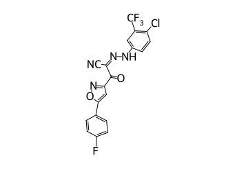 N#CC(=NNc1ccc(Cl)c(C(F)(F)F)c1)C(=O)c1cc(-c2ccc(F)cc2)on1